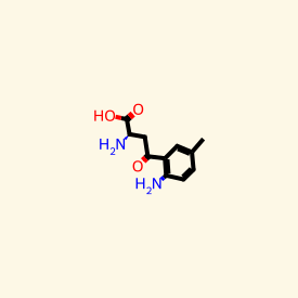 Cc1ccc(N)c(C(=O)C[C@H](N)C(=O)O)c1